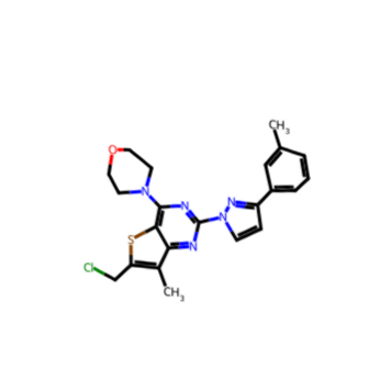 Cc1cccc(-c2ccn(-c3nc(N4CCOCC4)c4sc(CCl)c(C)c4n3)n2)c1